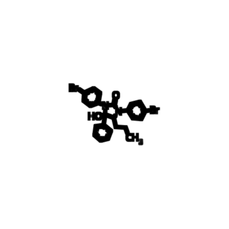 CCCC1N(c2ccc(Br)cc2)C(=O)N(c2ccc(Br)cc2)C1(O)c1ccccc1